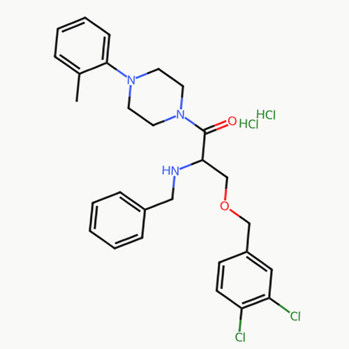 Cc1ccccc1N1CCN(C(=O)C(COCc2ccc(Cl)c(Cl)c2)NCc2ccccc2)CC1.Cl.Cl